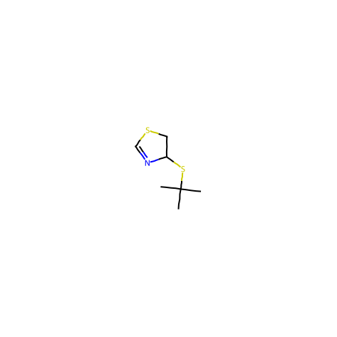 CC(C)(C)SC1CSC=N1